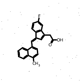 Cc1ccc(/C=C2\C=C(CC(=O)O)c3cc(F)ccc32)c2ccccc12